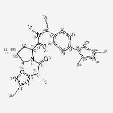 Cc1cc([C@@H](C)C(=O)N2C[C@H](C)C[C@H]2C(=O)N(C)C(C)c2ccc(-c3sc(C)nc3C)cc2)on1